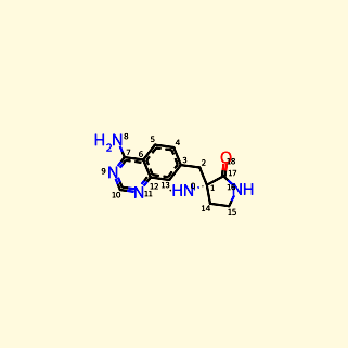 [NH][C@@]1(Cc2ccc3c(N)ncnc3c2)CCNC1=O